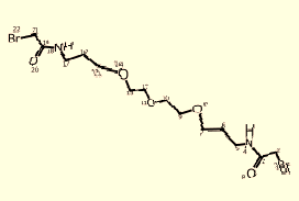 O=C(CBr)NCCCOCCOCCOCCCNC(=O)CBr